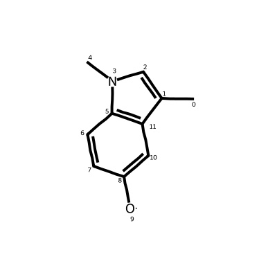 Cc1cn(C)c2ccc([O])cc12